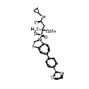 COC(C)(CC(=O)NC1CC1)S(=O)(=O)N1[CH]Sc2cc(-c3ccc(-c4ncco4)cc3)ccc21